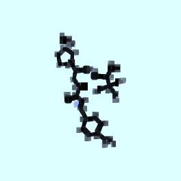 N[C@H]1CCN(C(=O)CNC(=O)/C=C/c2ccc(C(F)(F)F)cc2)C1.O=C(O)C(F)(F)F